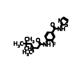 CC(CC(=O)Nc1ccc(C(=O)Nc2nccs2)cc1F)CC(C)(C)C